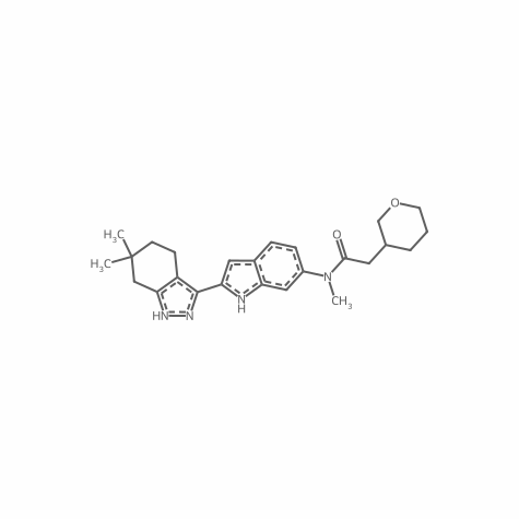 CN(C(=O)CC1CCCOC1)c1ccc2cc(-c3n[nH]c4c3CCC(C)(C)C4)[nH]c2c1